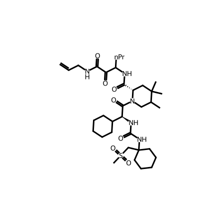 C=CCNC(=O)C(=O)C(CCC)NC(=O)[C@@H]1CC(C)(C)C(C)CN1C(=O)[C@@H](NC(=O)NC1(CS(C)(=O)=O)CCCCC1)C1CCCCC1